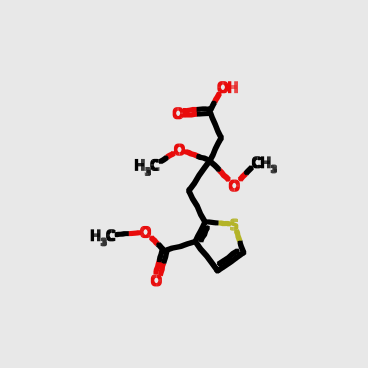 COC(=O)c1ccsc1CC(CC(=O)O)(OC)OC